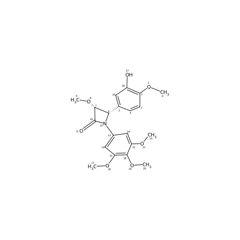 COc1ccc([C@H]2[C@@H](OC)C(=O)N2c2cc(OC)c(OC)c(OC)c2)cc1O